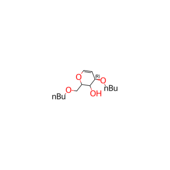 CCCCOCC1OC=C[C@@H](OCCCC)C1O